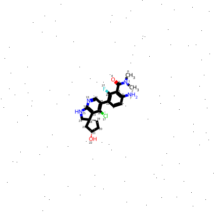 CN(C)C(=O)c1c(N)ccc(-c2cnc3c(c2Cl)[C@]2(CC[C@H](O)C2)CN3)c1F